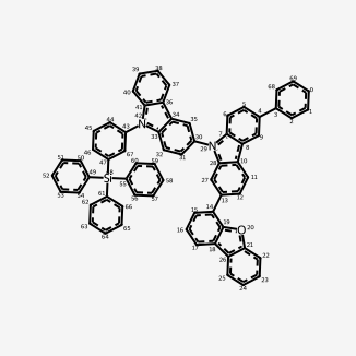 c1ccc(-c2ccc3c(c2)c2ccc(-c4cccc5c4oc4ccccc45)cc2n3-c2ccc3c(c2)c2ccccc2n3-c2cccc([Si](c3ccccc3)(c3ccccc3)c3ccccc3)c2)cc1